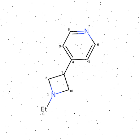 CCN1CC(c2ccncc2)C1